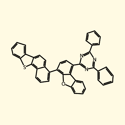 c1ccc(-c2nc(-c3ccccc3)nc(-c3ccc(-c4cccc5c4ccc4c6ccccc6sc54)c4oc5ccccc5c34)n2)cc1